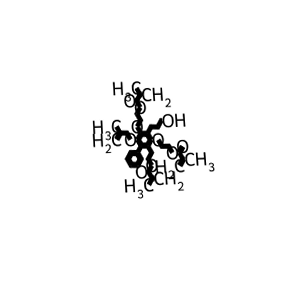 C=C(C)COc1c(OCCOC(=O)C(=C)C)c(CCCO)c(OCCOC(=O)C(=C)C)c(CCOC(=O)C(=C)C)c1-c1ccccc1